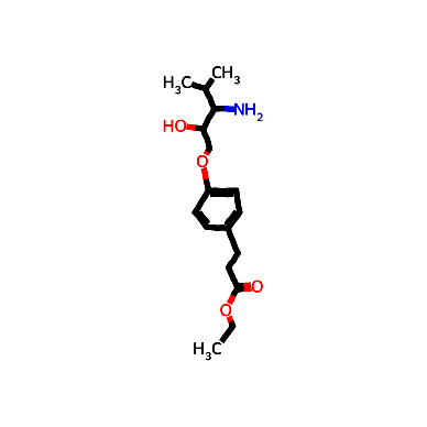 CCOC(=O)CCc1ccc(OCC(O)C(N)C(C)C)cc1